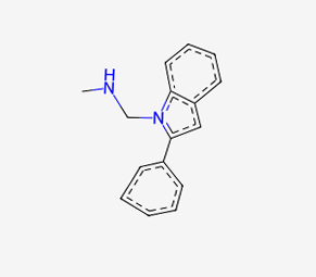 CNCn1c(-c2ccccc2)cc2ccccc21